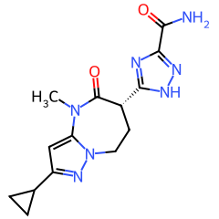 CN1C(=O)[C@H](c2nc(C(N)=O)n[nH]2)CCn2nc(C3CC3)cc21